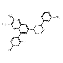 Cc1cc(C2CC(c3cc4nc(C)c(C)nc4c(-c4ccc(Cl)cc4F)n3)CCO2)ccn1